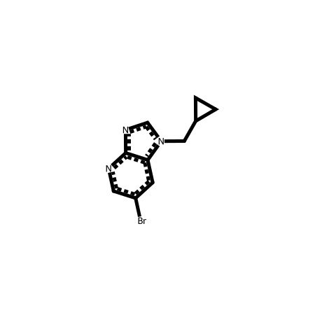 Brc1cnc2ncn(CC3CC3)c2c1